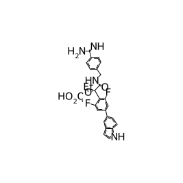 CC(=O)O.CCOC(C(=O)NCc1ccc(C(=N)N)cc1)c1c(F)cc(-c2ccc3[nH]ccc3c2)cc1F